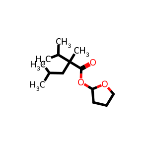 CC(C)CC(C)(C(=O)OC1CCCO1)C(C)C